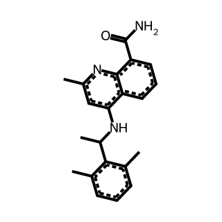 Cc1cc(NC(C)c2c(C)cccc2C)c2cccc(C(N)=O)c2n1